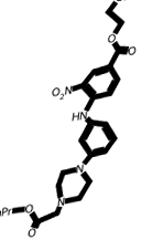 CCCOC(=O)CN1CCN(c2cccc(Nc3ccc(C(=O)OCCOC)cc3[N+](=O)[O-])c2)CC1